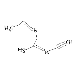 C#C/N=C(S)\N=C/C